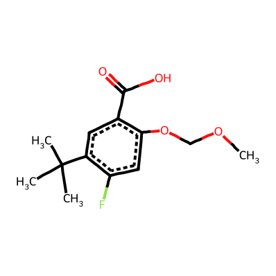 COCOc1cc(F)c(C(C)(C)C)cc1C(=O)O